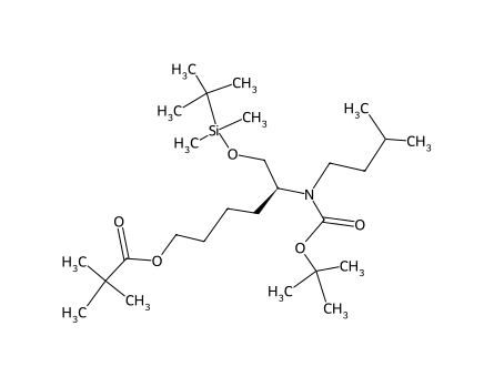 CC(C)CCN(C(=O)OC(C)(C)C)[C@@H](CCCCOC(=O)C(C)(C)C)CO[Si](C)(C)C(C)(C)C